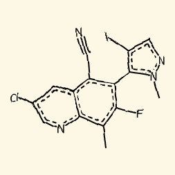 Cc1c(F)c(-c2c(I)cnn2C)c(C#N)c2cc(Cl)cnc12